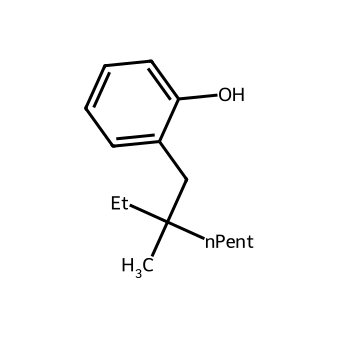 CCCCCC(C)(CC)Cc1ccccc1O